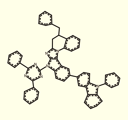 c1ccc(CC2Cc3nc4c(c5cc(-c6ccc7c(c6)c6ccccc6n7-c6ccccc6)ccc5n4-c4nc(-c5ccccc5)nc(-c5ccccc5)n4)n3-c3ccccc32)cc1